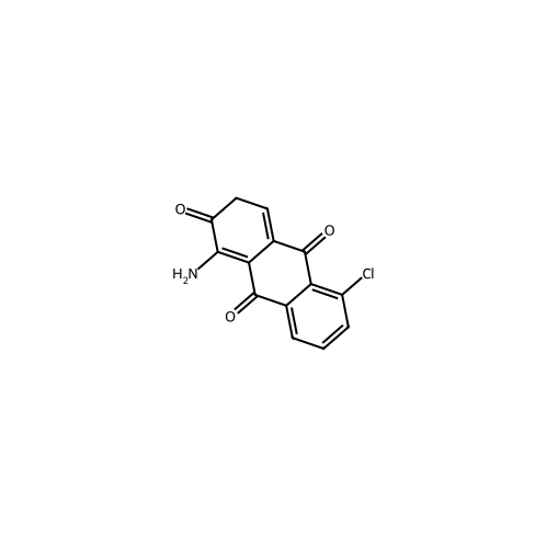 NC1=C2C(=O)c3cccc(Cl)c3C(=O)C2=CCC1=O